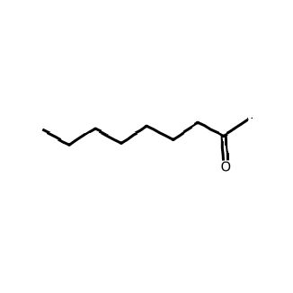 [CH2]C(=O)CCCCCCC